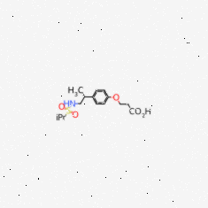 CC(CNS(=O)(=O)C(C)C)c1ccc(OCCC(=O)O)cc1